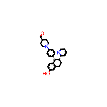 O=CC1CCN(c2ccc([C@H]3c4ccc(O)cc4CC[C@H]3c3ccccn3)cc2)CC1